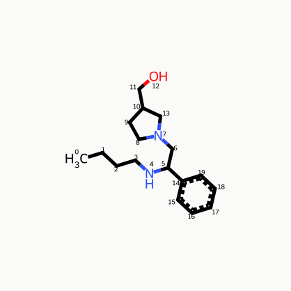 CCCCNC(CN1CCC(CO)C1)c1ccccc1